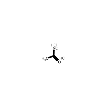 Cl.Cl.[C-]#[N+]C(C)=O